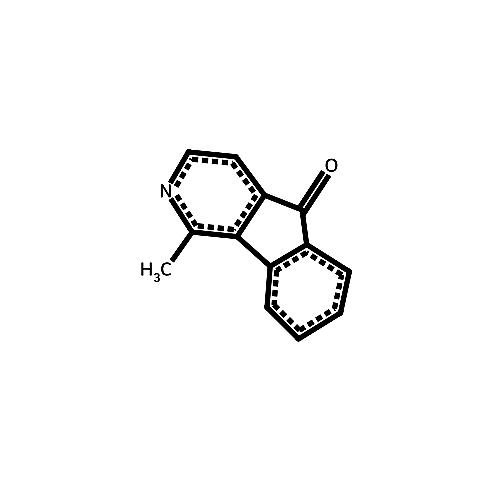 Cc1nccc2c1-c1ccccc1C2=O